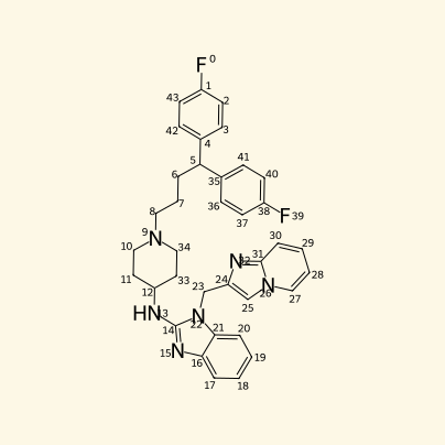 Fc1ccc(C(CCCN2CCC(Nc3nc4ccccc4n3Cc3cn4ccccc4n3)CC2)c2ccc(F)cc2)cc1